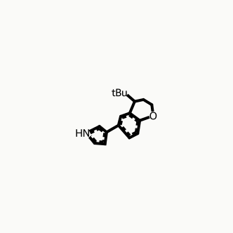 CC(C)(C)C1CCOc2ccc(-c3cc[nH]c3)cc21